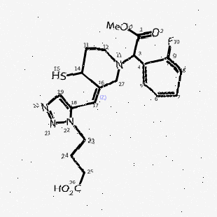 COC(=O)C(c1ccccc1F)N1CCC(S)/C(=C\c2cnnn2CCCC(=O)O)C1